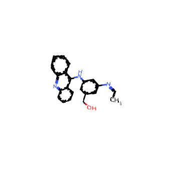 C/C=N\c1cc(CO)cc(Nc2c3ccccc3nc3ccccc23)c1